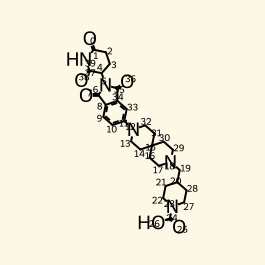 O=C1CCC(N2C(=O)c3ccc(N4CCC5(CCN(CC6CCN(C(=O)O)CC6)CC5)CC4)cc3C2=O)C(=O)N1